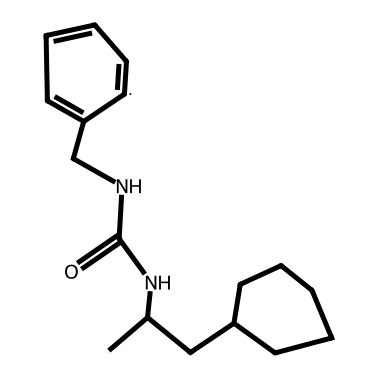 CC(CC1CCCCC1)NC(=O)NCc1[c]cccc1